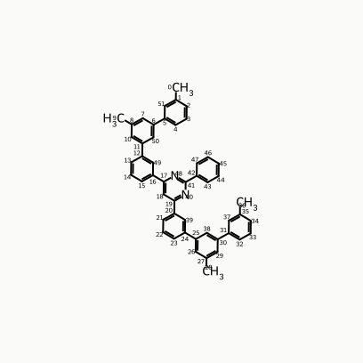 Cc1cccc(-c2cc(C)cc(-c3cccc(-c4cc(-c5cccc(-c6cc(C)cc(-c7cccc(C)c7)c6)c5)nc(-c5ccccc5)n4)c3)c2)c1